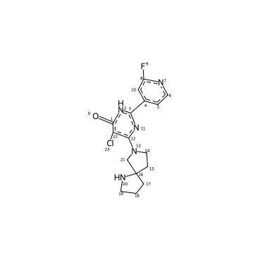 O=c1[nH]c(-c2ccnc(F)c2)nc(N2CCC3(CCCN3)C2)c1Cl